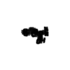 N#Cc1cncc(COc2cc(O[C@H]3CCc4c(-c5ccc6c(c5)OCCO6)cccc43)c(Cl)cc2CN2CC(O)C2)c1